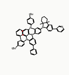 Cc1cc2c3c(c1)N(c1ccc(C(C)(C)C)cc1-c1ccccc1)c1cc(-c4ccccc4)ccc1B3c1ccc(N3c4ccc(-c5cccnc5)cc4C4(C)CCCCC34C)cc1N2c1ccc(C(C)(C)C)cc1